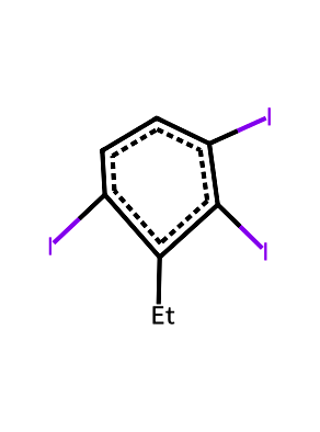 CCc1c(I)ccc(I)c1I